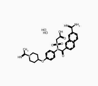 CC(=N)N1CCC(Oc2ccc(N(C(=O)c3ccc4ccc(C(=N)N)cc4c3)S(=O)(=O)CC(=O)O)cc2)CC1.Cl.Cl